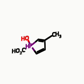 CC1=C[PH](O)(C(=O)O)C=C1